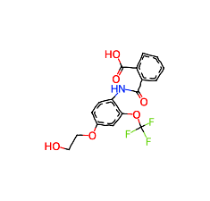 O=C(O)c1ccccc1C(=O)Nc1ccc(OCCO)cc1OC(F)(F)F